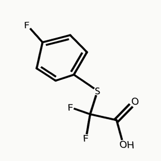 O=C(O)C(F)(F)Sc1ccc(F)cc1